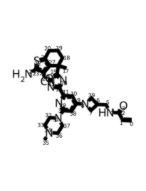 C=CC(=O)NCC1CN(c2cc(-c3noc(C4(C)CCCc5sc(N)c(C#N)c54)n3)nc(N3CCN(C)CC3)c2)C1